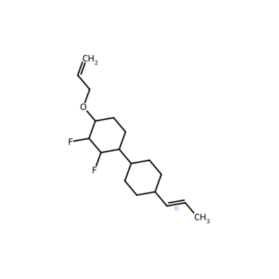 C=CCOC1CCC(C2CCC(/C=C/C)CC2)C(F)C1F